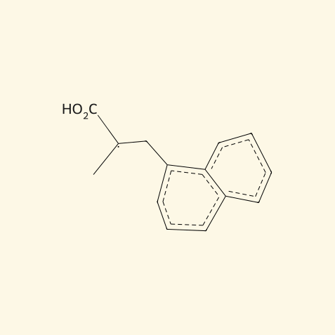 C[C](Cc1cccc2ccccc12)C(=O)O